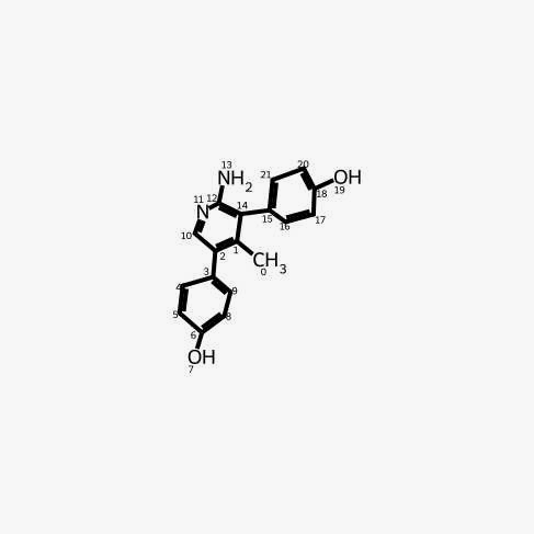 Cc1c(-c2ccc(O)cc2)cnc(N)c1-c1ccc(O)cc1